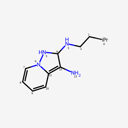 CC(C)CCNC1NN2C=CC=CC2=C1N